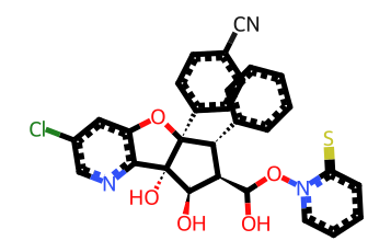 N#Cc1ccc([C@@]23Oc4cc(Cl)cnc4[C@]2(O)[C@H](O)[C@H](C(O)On2ccccc2=S)[C@H]3c2ccccc2)cc1